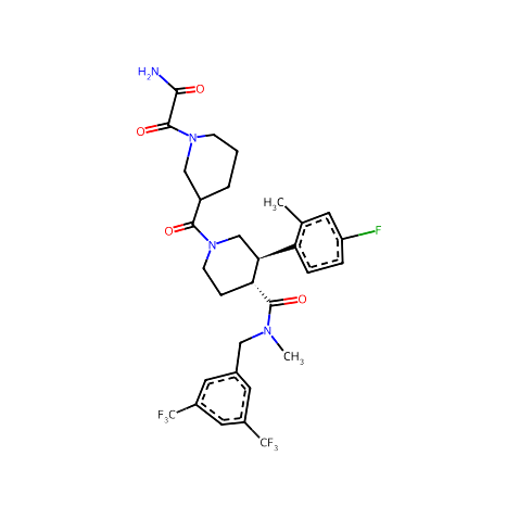 Cc1cc(F)ccc1[C@@H]1CN(C(=O)C2CCCN(C(=O)C(N)=O)C2)CC[C@H]1C(=O)N(C)Cc1cc(C(F)(F)F)cc(C(F)(F)F)c1